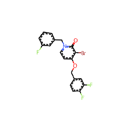 O=c1c(Br)c(OCc2ccc(F)c(F)c2)ccn1Cc1cccc(F)c1